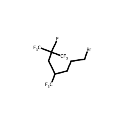 FC(F)(F)C(CCCBr)CC(F)(C(F)(F)F)C(F)(F)F